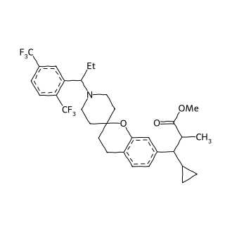 CCC(c1cc(C(F)(F)F)ccc1C(F)(F)F)N1CCC2(CCc3ccc(C(C4CC4)C(C)C(=O)OC)cc3O2)CC1